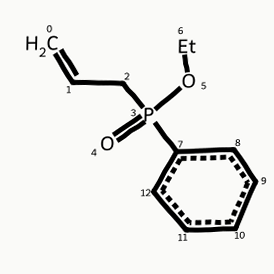 C=CCP(=O)(OCC)c1ccccc1